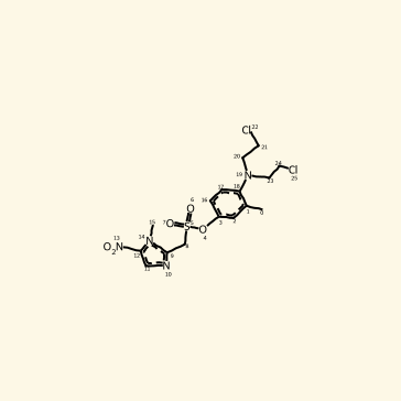 Cc1cc(OS(=O)(=O)Cc2ncc([N+](=O)[O-])n2C)ccc1N(CCCl)CCCl